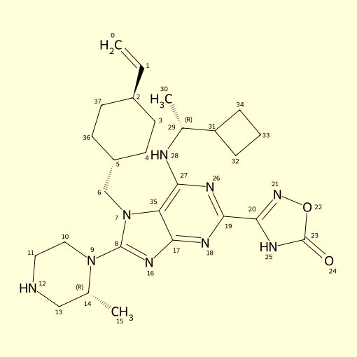 C=C[C@H]1CC[C@H](Cn2c(N3CCNC[C@H]3C)nc3nc(-c4noc(=O)[nH]4)nc(N[C@H](C)C4CCC4)c32)CC1